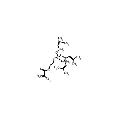 C=C(C)C(=O)OCCC[Si](O[SiH2]C=C(C)C)(O[SiH2]C=C(C)C)O[SiH2]C=C(C)C